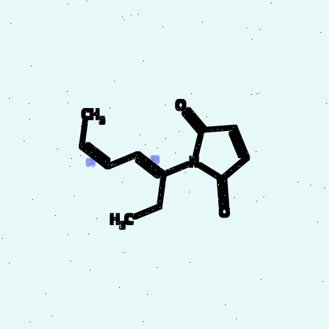 C/C=C\C=C(/CC)N1C(=O)C=CC1=O